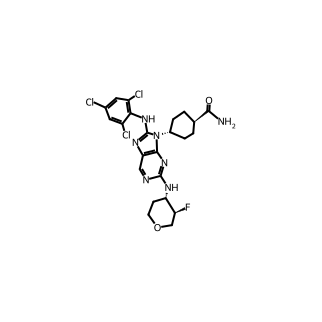 NC(=O)[C@H]1CC[C@H](n2c(Nc3c(Cl)cc(Cl)cc3Cl)nc3cnc(N[C@H]4CCOC[C@@H]4F)nc32)CC1